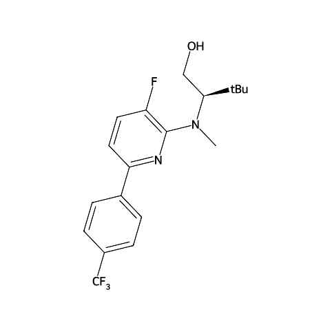 CN(c1nc(-c2ccc(C(F)(F)F)cc2)ccc1F)[C@@H](CO)C(C)(C)C